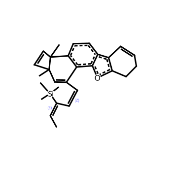 C/C=C(\C=C/C1=CC2(C)C=CC2(C)c2ccc3c4c(oc3c21)CCC=C4)[Si](C)(C)C